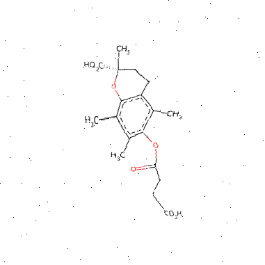 Cc1c(C)c2c(c(C)c1OC(=O)CCC(=O)O)CC[C@@](C)(C(=O)O)O2